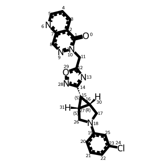 O=c1c2cccnc2cnn1Cc1nc([C@@H]2[C@@H]3CN(c4cccc(Cl)c4)C[C@@H]32)no1